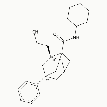 CCC[C@]12CC3CC1(C(=O)NC1CCCCC1)C[C@@](c1ccccc1)(C3)C2